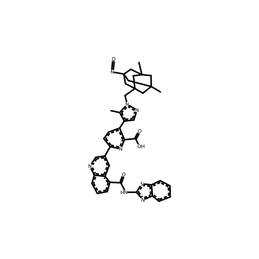 Cc1c(-c2ccc(-c3cnc4cccc(C(=O)Nc5nc6ccccc6s5)c4c3)nc2C(=O)O)cnn1CC12CC3(C)CC(C)(C1)CC(N=O)(C3)C2